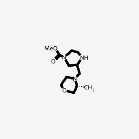 COC(=O)N1CCNC(CN2CCOC[C@H]2C)C1